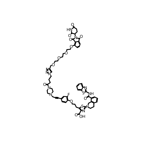 O=C1CCC(N2C(=O)c3cccc(OCCOCCOCCOCc4cn(CCCC(=O)N5CCN(CC#Cc6ccc(OCCCc7sc(N8CCc9cccc(C(=O)Nc%10nc%11ccccc%11s%10)c9C8)nc7C(=O)O)c(F)c6)CC5)nn4)c3C2=O)C(=O)N1